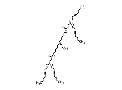 CCCCC#CCCOC(CCC(=O)OCCCCCN(CCO)CCCCCOC(=O)CCC(OCCC#CCCCC)OCCC#CCCCC)OCCC#CCCCC